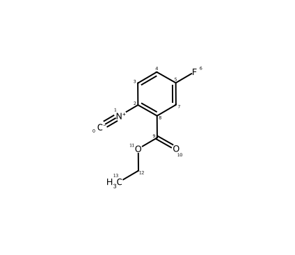 [C-]#[N+]c1ccc(F)cc1C(=O)OCC